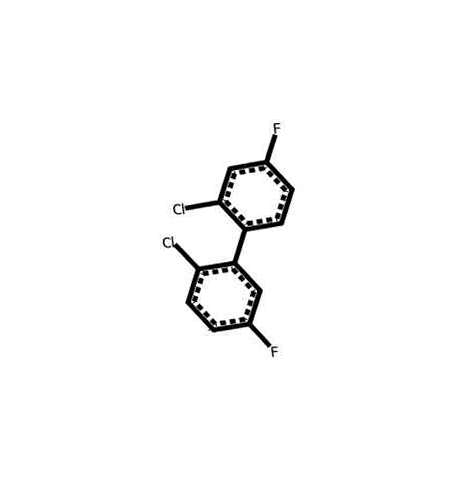 Fc1[c]cc(Cl)c(-c2ccc(F)cc2Cl)c1